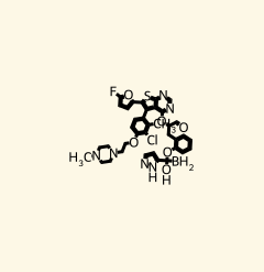 BC(O)(Oc1ccccc1CC(C=O)Oc1ncnc2sc(-c3ccc(F)o3)c(-c3ccc(OCCN4CCN(C)CC4)c(Cl)c3C)c12)c1ccn[nH]1